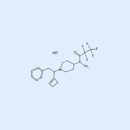 CN(C(=O)C(F)(F)C(F)(F)F)C1CCN(C(Cc2ccccc2)C2=CCC2)CC1.Cl